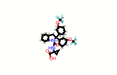 O=C(NC1(C(=O)O)CC1)NC(Cc1ccccc1)(c1cccc(OC(F)(F)F)c1)c1cccc(OC(F)(F)F)c1